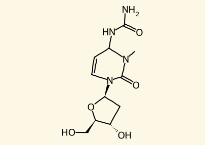 CN1C(=O)N([C@H]2C[C@H](O)[C@@H](CO)O2)C=CC1NC(N)=O